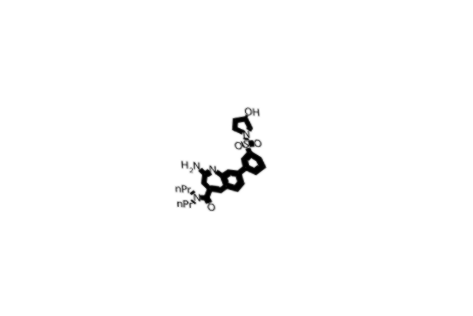 CCCN(CCC)C(=O)C1=Cc2ccc(-c3cccc(S(=O)(=O)N4CC[C@@H](O)C4)c3)cc2N=C(N)C1